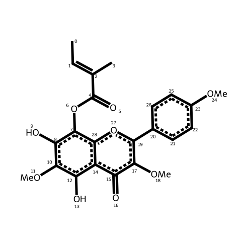 C/C=C(\C)C(=O)Oc1c(O)c(OC)c(O)c2c(=O)c(OC)c(-c3ccc(OC)cc3)oc12